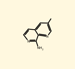 Cc1cnc2c(N)nccc2c1